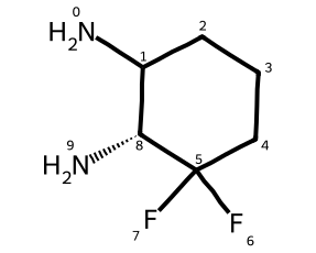 NC1CCCC(F)(F)[C@@H]1N